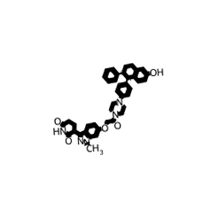 Cn1nc(C2CCC(=O)NC2=O)c2ccc(OCC(=O)N3CCN(c4ccc([C@@H]5c6ccc(O)cc6CC[C@@H]5c5ccccc5)cc4)CC3)cc21